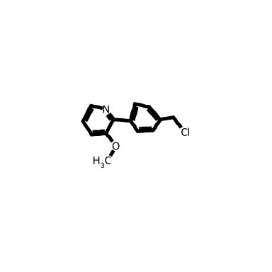 COc1cccnc1-c1ccc(CCl)cc1